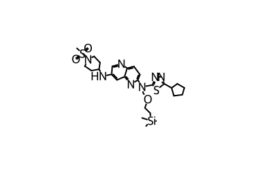 C[Si](C)(C)CCOCN(c1ccc2ncc(NC3CCN(S(C)(=O)=O)CC3)cc2n1)c1nnc(C2CCCC2)s1